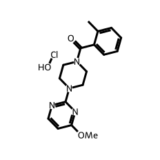 COc1ccnc(N2CCN(C(=O)c3ccccc3C)CC2)n1.OCl